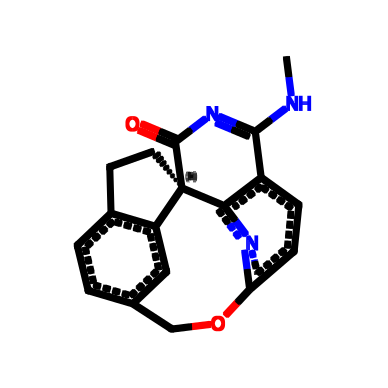 CNC1=NC(=O)[C@]23CCc4ccc(cc42)COc2ccc1c3n2